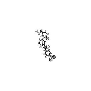 CC1CCC(=O)N([C@@H]2CCCN(C(=O)Oc3ccc([N+](=O)[O-])cc3)C2)C1